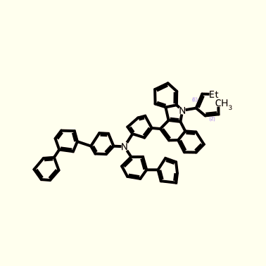 C/C=C\C(=C/CC)n1c2ccccc2c2c(-c3cccc(N(c4ccc(-c5cccc(-c6ccccc6)c5)cc4)c4cccc(-c5ccccc5)c4)c3)cc3ccccc3c21